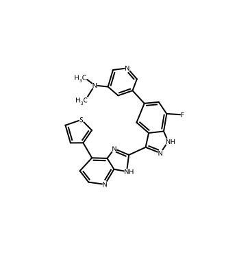 CN(C)c1cncc(-c2cc(F)c3[nH]nc(-c4nc5c(-c6ccsc6)ccnc5[nH]4)c3c2)c1